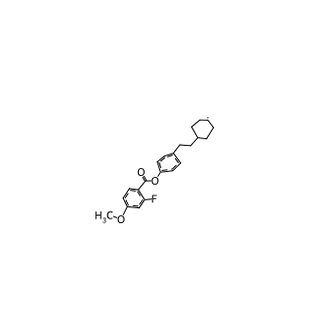 COc1ccc(C(=O)Oc2ccc(CCC3CC[CH]CC3)cc2)c(F)c1